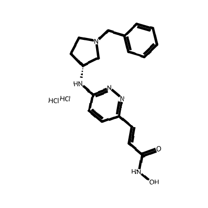 Cl.Cl.O=C(/C=C/c1ccc(N[C@@H]2CCN(Cc3ccccc3)C2)nn1)NO